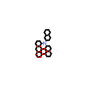 c1ccc(-c2cccc3cccc(-c4ccccc4N(c4ccc5ccccc5c4)c4ccccc4-c4cccc5ccccc45)c23)cc1